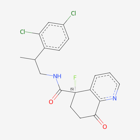 CC(CNC(=O)[C@]1(F)CCC(=O)c2ncccc21)c1ccc(Cl)cc1Cl